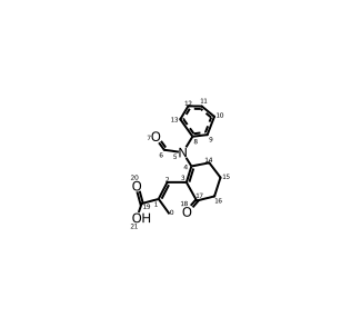 C/C(=C\C1=C(N(C=O)c2ccccc2)CCCC1=O)C(=O)O